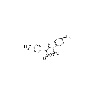 Cc1ccc(C(NC(c2ccc(C)cc2)=S(=O)=O)=S(=O)=O)cc1